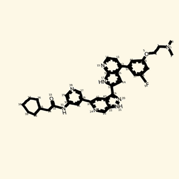 CN(C)CCOc1cc(F)cc(-c2ccnc3[nH]c(-c4n[nH]c5cnc(-c6cncc(NC(=O)CC7CCCCC7)c6)cc45)cc23)c1